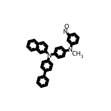 CN(c1ccc(N(c2ccc(-c3ccccc3)cc2)c2ccc3ccccc3c2)cc1)c1cccc(N=O)c1